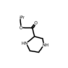 CC(C)OC(=O)C1CNCCN1